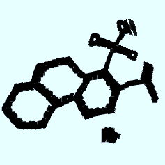 C=C(C)c1ccc2c(ccc3ccccc32)c1S(=O)(=O)O.[Rb]